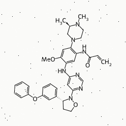 C=CC(=O)Nc1cc(Nc2cc(N3OCC[C@@H]3c3cccc(Oc4ccccc4)c3)ncn2)c(OC)cc1N1CCN(C)[C@H](C)C1